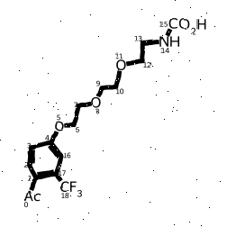 CC(=O)c1ccc(OCCOCCOCCNC(=O)O)cc1C(F)(F)F